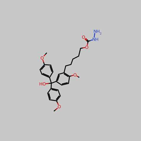 COc1ccc(C(O)(c2ccc(OC)cc2)c2ccc(OC)c(CCCCCOC(=O)NN)c2)cc1